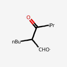 CCCCC([C]=O)C(=O)C(C)C